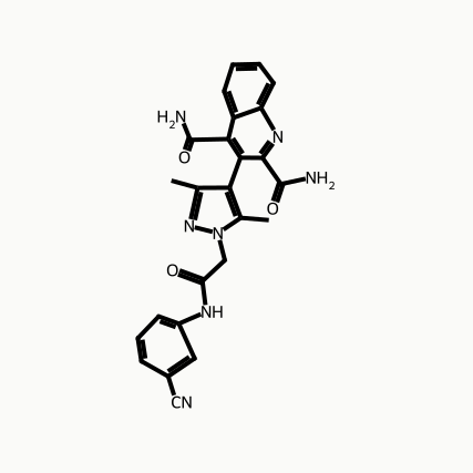 Cc1nn(CC(=O)Nc2cccc(C#N)c2)c(C)c1-c1c(C(N)=O)nc2ccccc2c1C(N)=O